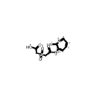 O=C(O)CS(=O)(=O)CC(=O)Nc1ccccnc1=O